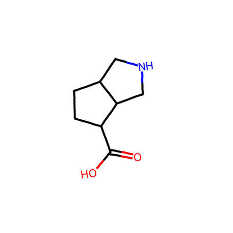 O=C(O)C1CCC2CNCC21